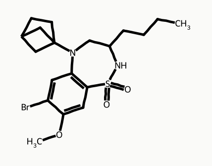 CCCCC1CN(C23CCC(C2)C3)c2cc(Br)c(OC)cc2S(=O)(=O)N1